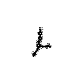 [C-]#[N+]c1ccc(-c2ccc(OC(=O)c3ccc(OCCCOC(=O)C=C)c(OCCCOC(=O)C=C)c3)cc2)cc1